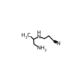 CC(CN)NCCC#N